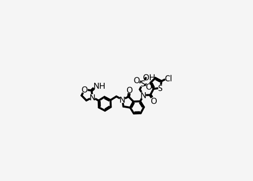 N=C1OCCN1c1cccc(CN2Cc3cccc(N(CS(=O)(=O)O)C(=O)c4ccc(Cl)s4)c3C2=O)c1